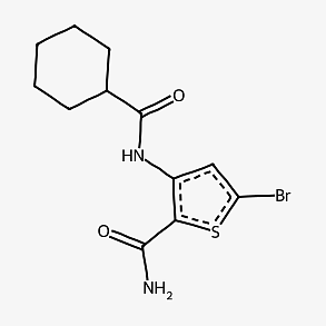 NC(=O)c1sc(Br)cc1NC(=O)C1CCCCC1